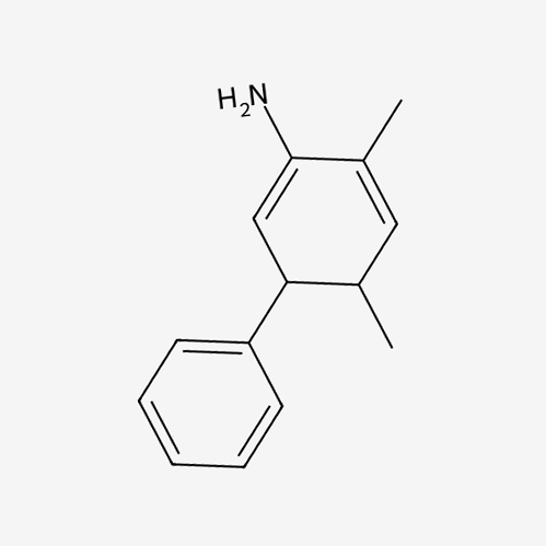 CC1=CC(C)C(c2ccccc2)C=C1N